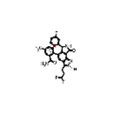 Cn1nc2c3c(c(-c4c(F)cc(C(F)(F)F)cc4C(N)=O)cc2c1CCC(F)F)C(c1cc(F)ccc1Cl)NC3=O